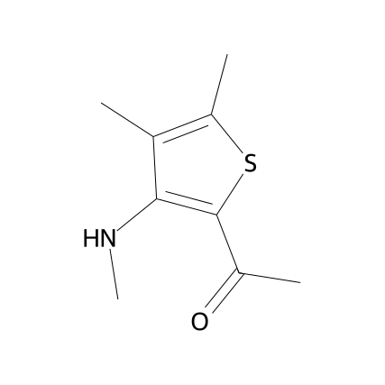 CNc1c(C(C)=O)sc(C)c1C